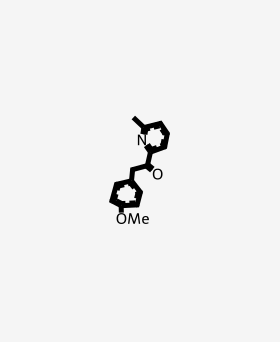 COc1ccc(CC(=O)c2cccc(C)n2)cc1